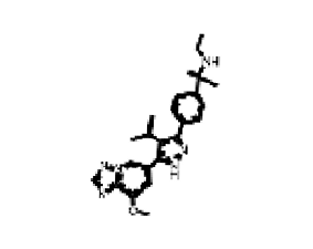 CCNC(C)(C)c1ccc(-c2n[nH]c(-c3cc(OC)c4ncnn4c3)c2C(C)C)cc1